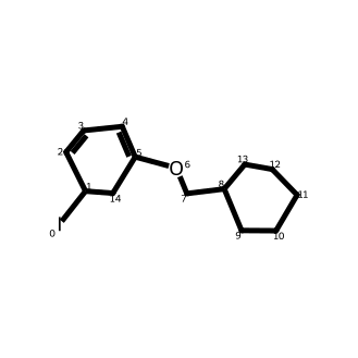 IC1C=CC=C(OCC2CCCCC2)C1